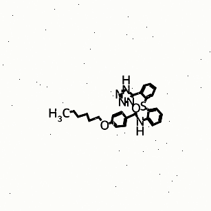 CCCCCCOc1ccc(C(=O)Nc2ccccc2Sc2ccccc2-c2nnn[nH]2)cc1